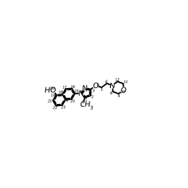 Cc1cc(OCCN2CCOCC2)nn1-c1ccc2c(O)cccc2c1